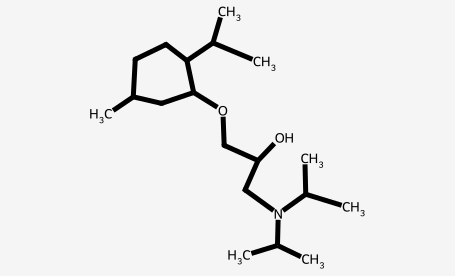 CC1CCC(C(C)C)C(OCC(O)CN(C(C)C)C(C)C)C1